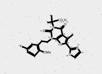 COc1ccc(F)cc1CCn1c(=O)n(C(C)(C)C(=O)O)c(=O)c2c(C)c(-c3ncco3)sc21